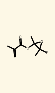 C=C(C)C(=O)OC1(C)OC1(C)F